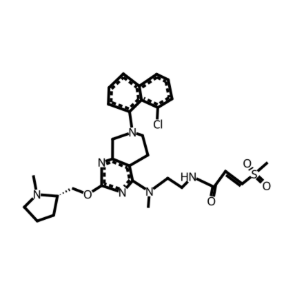 CN(CCNC(=O)/C=C/S(C)(=O)=O)c1nc(OC[C@@H]2CCCN2C)nc2c1CCN(c1cccc3cccc(Cl)c13)C2